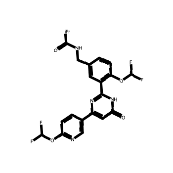 CC(C)C(=O)NCc1ccc(OC(F)F)c(-c2nc(-c3ccc(OC(F)F)nc3)cc(=O)[nH]2)c1